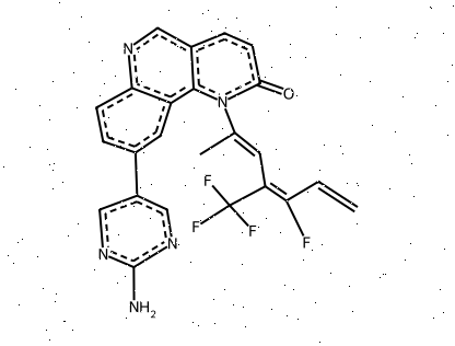 C=C/C(F)=C(\C=C(/C)n1c(=O)ccc2cnc3ccc(-c4cnc(N)nc4)cc3c21)C(F)(F)F